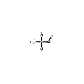 CCN[Si](C)(Cl)Cl